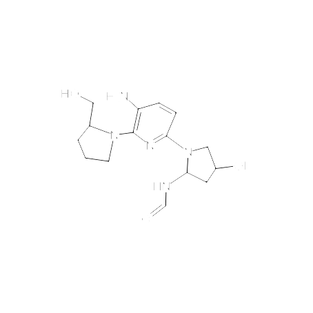 Nc1ccc(N2CC(O)CC2NC=O)nc1N1CCCC1CO